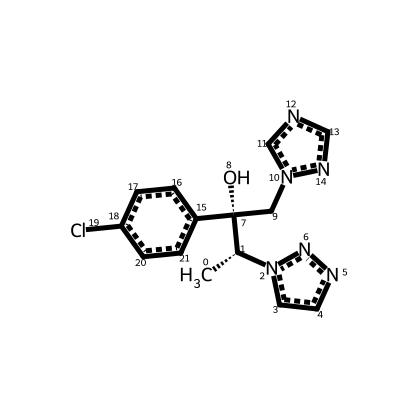 C[C@@H](n1ccnn1)[C@](O)(Cn1cncn1)c1ccc(Cl)cc1